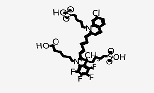 CC1(CCCCS(=O)(=O)O)C(/C=C/C=C/C=C2\C=Cc3ccc(Cl)cc3N2CCCCS(=O)(=O)O)=[N+](CCCCCC(=O)O)c2c(F)c(F)c(F)c(F)c21